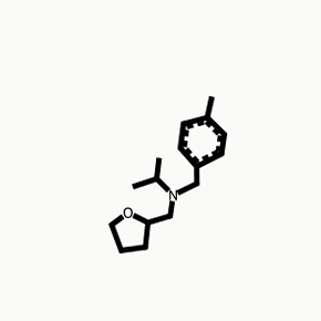 Cc1ccc(CN(CC2CCCO2)C(C)C)cc1